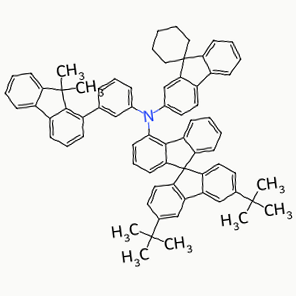 CC(C)(C)c1ccc2c(c1)-c1cc(C(C)(C)C)ccc1C21c2ccccc2-c2c(N(c3cccc(-c4cccc5c4C(C)(C)c4ccccc4-5)c3)c3ccc4c(c3)C3(CCCCC3)c3ccccc3-4)cccc21